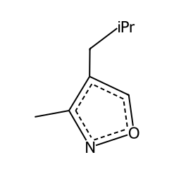 Cc1nocc1CC(C)C